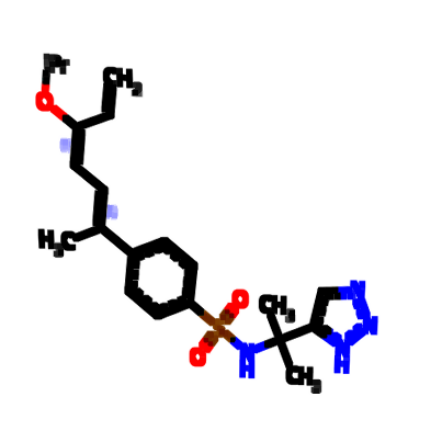 C=C/C(=C\C=C(/C)c1ccc(S(=O)(=O)NC(C)(C)c2cnn[nH]2)cc1)OC(C)C